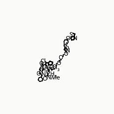 CN[C@@H](C)C(=O)NC(C(=O)N1CCN(C(=O)c2c(Cl)c3ccccc3n2CC(=O)N(C)CCOCCOCCOCCOc2cc(CN3CCC(Oc4ccnc5ccsc45)CC3)on2)CC1)C1CCCCC1